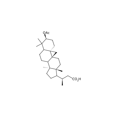 CC(=O)O[C@H]1CC[C@]23C[C@]24CC[C@]2(C)C([C@H](C)CC(=O)O)CC[C@@]2(C)C4CCC3C1(C)C